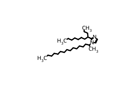 CCCCCCCCCCCCCCC(C)n1ccnc1C(CCC)CCCCCCC